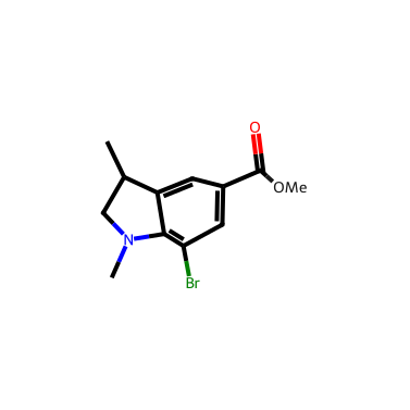 COC(=O)c1cc(Br)c2c(c1)C(C)CN2C